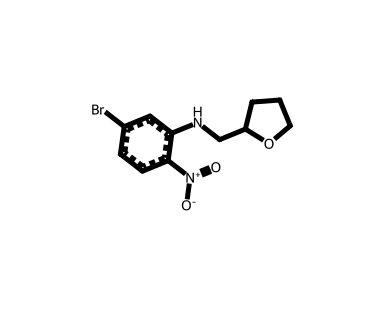 O=[N+]([O-])c1ccc(Br)cc1NCC1CCCO1